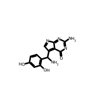 NC1=NC(=O)C2=C(C(N)c3ccc(O)cc3O)C=NC2=N1